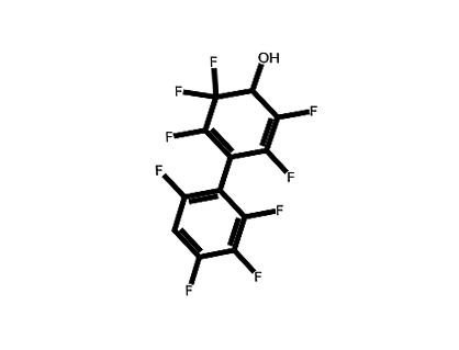 OC1C(F)=C(F)C(c2c(F)cc(F)c(F)c2F)=C(F)C1(F)F